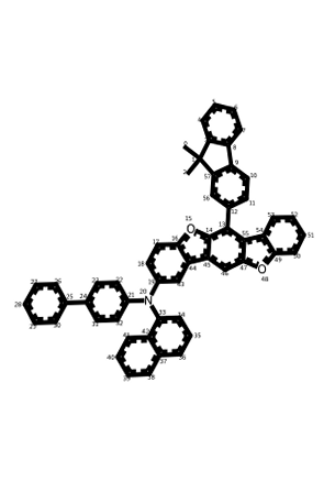 CC1(C)c2ccccc2-c2ccc(-c3c4oc5ccc(N(c6ccc(-c7ccccc7)cc6)c6cccc7ccccc67)cc5c4cc4oc5ccccc5c34)cc21